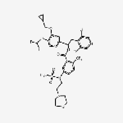 CS(=O)(=O)N(CCN1CCOCC1)c1ccc(C(F)(F)F)c(C(=O)OC(Cc2c(Cl)cncc2Cl)c2ccc(OC(F)F)c(OCC3CC3)c2)c1